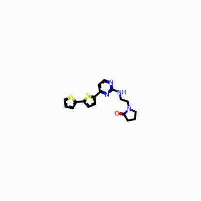 O=C1CCCN1CCNc1nccc(-c2ccc(-c3cccs3)s2)n1